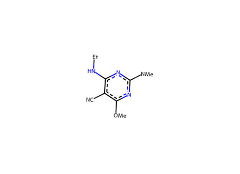 CCNc1nc(NC)nc(OC)c1C#N